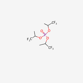 CC(OP(=O)(OC(C)C(F)(F)F)OC(C)C(F)(F)F)C(F)(F)F